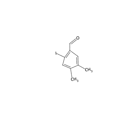 Cc1cc(I)c(C=O)cc1C